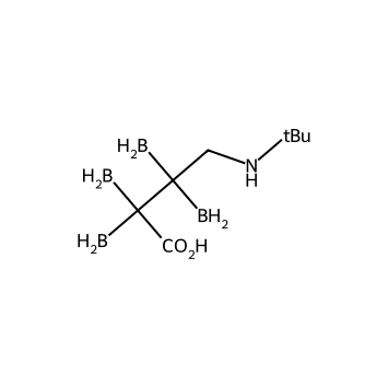 BC(B)(CNC(C)(C)C)C(B)(B)C(=O)O